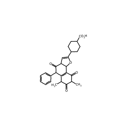 CC1C(=O)C2=C(C(C)C1=O)C(c1ccccc1)C(=O)C1C=C(C3CCC(C(=O)O)CC3)OC21